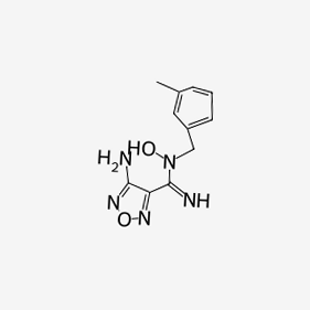 Cc1cccc(CN(O)C(=N)c2nonc2N)c1